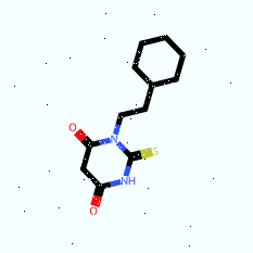 O=C1CC(=O)N(CCC2CCCCC2)C(=S)N1